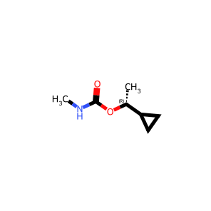 CNC(=O)O[C@H](C)C1CC1